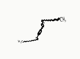 CCCCCCCCCCCCc1ccc(-c2ccc(/C=C/c3ccc(-c4ccc(CCCCCCCCCCCC)s4)cc3)cc2)s1